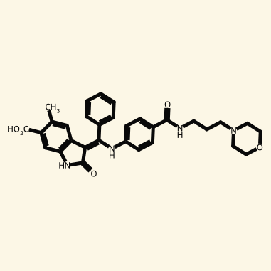 Cc1cc2c(cc1C(=O)O)NC(=O)/C2=C(\Nc1ccc(C(=O)NCCCN2CCOCC2)cc1)c1ccccc1